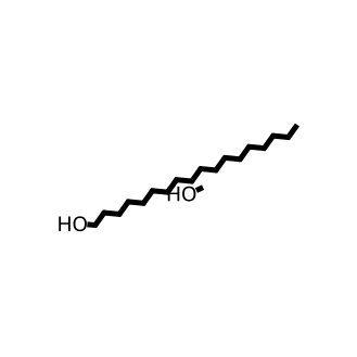 CCCCCCCCCCCCCCCCCCO.CO